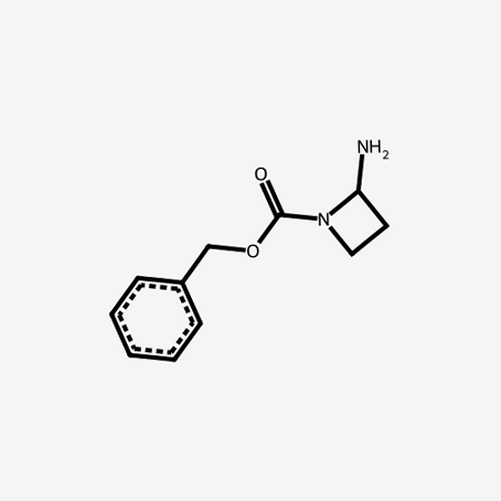 NC1CCN1C(=O)OCc1ccccc1